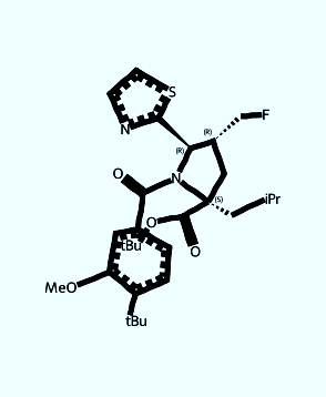 COc1cc(C(=O)N2[C@@H](c3nccs3)[C@H](CF)C[C@@]2(CC(C)C)C(=O)OC(C)(C)C)ccc1C(C)(C)C